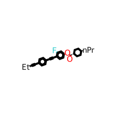 CCC#Cc1ccc(C#Cc2ccc(OC(=O)[C@H]3CC[C@H](CCC)CC3)cc2F)cc1